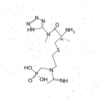 CC(=N)N(CCSC[C@](C)(N)C(=O)N(C)c1nnn[nH]1)CP(=O)(O)O